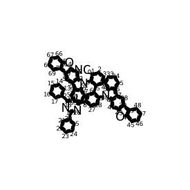 N#Cc1cccc(-c2cc(-c3nc(-c4ccccc4)nc(-c4ccccc4)n3)ccc2-n2c3ccccc3c3cc4c(cc32)oc2ccccc24)c1-n1c2ccccc2c2cc3c(cc21)oc1ccccc13